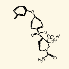 Cc1cccc(Oc2ccc(S(=O)(=O)C3CCN(C(N)=O)CC3(O)C(=O)O)cc2)c1